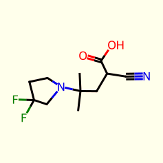 CC(C)(CC(C#N)C(=O)O)N1CCC(F)(F)C1